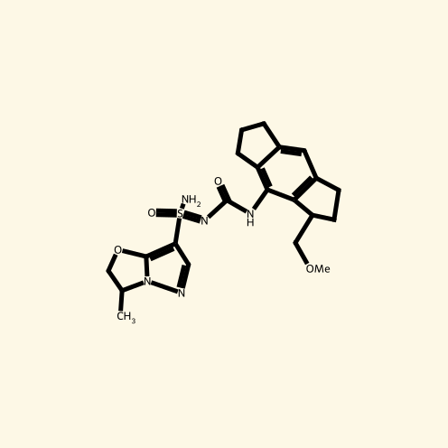 COCC1CCc2cc3c(c(NC(=O)N=S(N)(=O)c4cnn5c4OCC5C)c21)CCC3